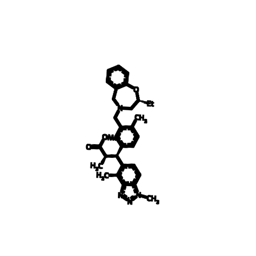 CC[C@@H]1CN(Cc2cc([C@@H](c3ccc4c(nnn4C)c3C)[C@@H](C)C(=O)OC)ccc2C)Cc2ccccc2O1